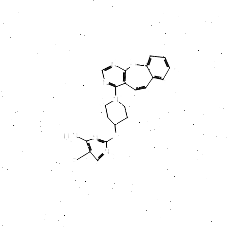 Nc1nc(OC2CCN(c3ncnc4c3C=Cc3ccccc3O4)CC2)ncc1F